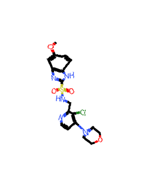 COc1ccc2[nH]c(S(=O)(=O)NCc3nccc(N4CCOCC4)c3Cl)nc2c1